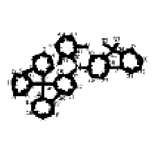 Cc1ccccc1C1(c2ccccc2)c2ccccc2-c2ccc(N(c3ccc4c(c3)C(C)(C)c3ccccc3-4)c3c(C)cccc3C)cc21